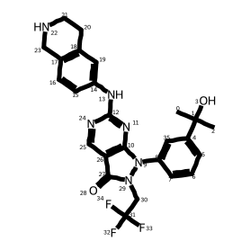 CC(C)(O)c1cccc(-n2c3nc(Nc4ccc5c(c4)CCNC5)ncc3c(=O)n2CC(F)(F)F)c1